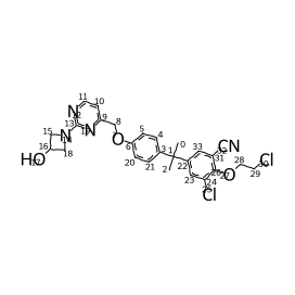 CC(C)(c1ccc(OCc2ccnc(N3CC(O)C3)n2)cc1)c1cc(Cl)c(OCCCl)c(C#N)c1